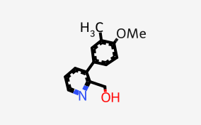 COc1ccc(-c2cccnc2CO)cc1C